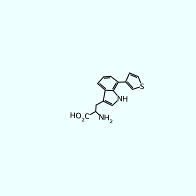 NC(Cc1c[nH]c2c(-c3ccsc3)cccc12)C(=O)O